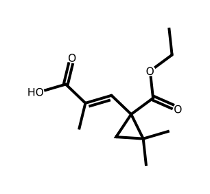 CCOC(=O)C1(C=C(C)C(=O)O)CC1(C)C